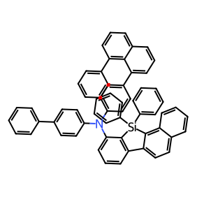 c1ccc(-c2ccc(N(c3ccc(-c4cccc5cccc(-c6ccccc6)c45)cc3)c3cccc4c3[Si](c3ccccc3)(c3ccccc3)c3c-4ccc4ccccc34)cc2)cc1